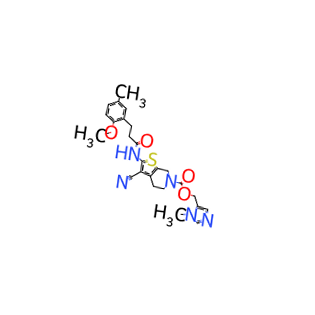 COc1ccc(C)cc1CCC(=O)Nc1sc2c(c1C#N)CCN(C(=O)OCc1cncn1C)C2